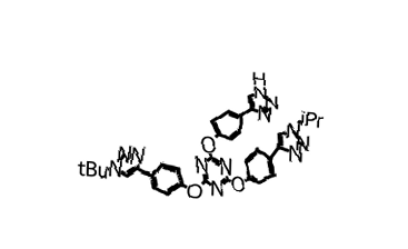 CC(C)n1cc(-c2ccc(Oc3nc(Oc4ccc(-c5c[nH]nn5)cc4)nc(Oc4ccc(-c5cn(C(C)(C)C)nn5)cc4)n3)cc2)nn1